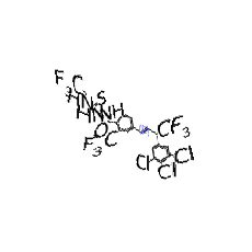 O=C(NNC(=S)NCC(F)(F)F)c1ccc(/C=C/C(c2cc(Cl)c(Cl)c(Cl)c2)C(F)(F)F)cc1C(F)(F)F